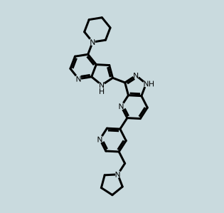 c1cc(N2CCCCC2)c2cc(-c3n[nH]c4ccc(-c5cncc(CN6CCCC6)c5)nc34)[nH]c2n1